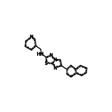 c1cncc(CNc2nn3cc(-c4ccc5ccccc5c4)nc3s2)c1